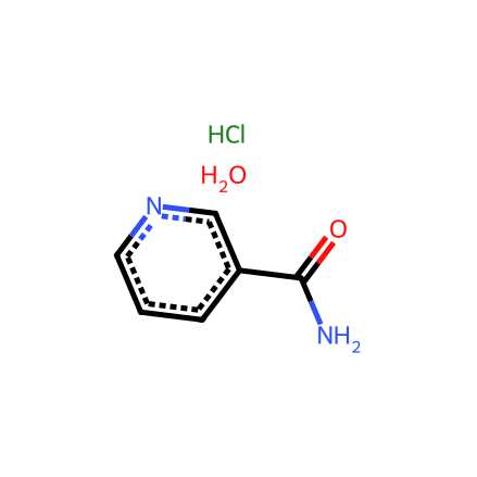 Cl.NC(=O)c1cccnc1.O